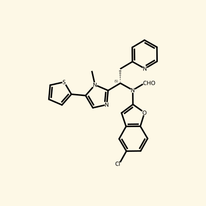 Cn1c(-c2cccs2)cnc1[C@H](Cc1ccccn1)N(C=O)c1cc2cc(Cl)ccc2o1